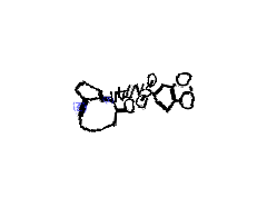 C=C1CCCC/C=C2/CCC/C2=C/1NC(=O)NS(=O)(=O)c1ccc2c(c1)OCO2